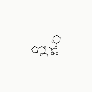 O=CN(C[C@@H](CC1CCCC1)C(=O)F)OC1CCCCO1